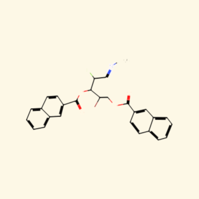 CON=CC(F)C(OC(=O)c1ccc2ccccc2c1)C(Br)COC(=O)c1ccc2ccccc2c1